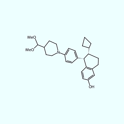 COC(OC)C1CCN(c2ccc([C@H]3c4ccc(O)cc4CC[C@H]3C3CCC3)cc2)CC1